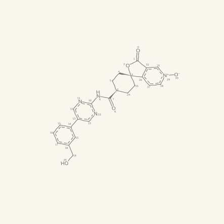 O=C1O[C@]2(CC[C@H](C(=O)Nc3ncc(-c4cccc(CO)c4)cn3)CC2)c2cc[n+]([O-])cc21